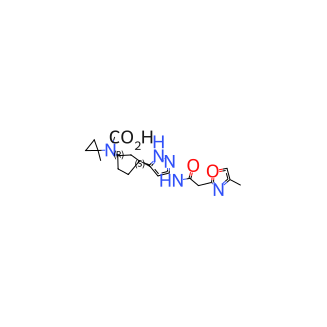 Cc1coc(CC(=O)Nc2cc([C@H]3CC[C@@H](N(C(=O)O)C4(C)CC4)C3)[nH]n2)n1